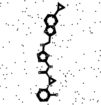 O=C(Nc1nsc(NCc2cn3cc(C4CC4)ccc3n2)n1)[C@H]1C[C@@H]1c1ncccc1Cl